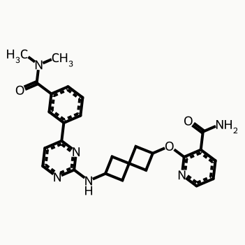 CN(C)C(=O)c1cccc(-c2ccnc(NC3CC4(C3)CC(Oc3ncccc3C(N)=O)C4)n2)c1